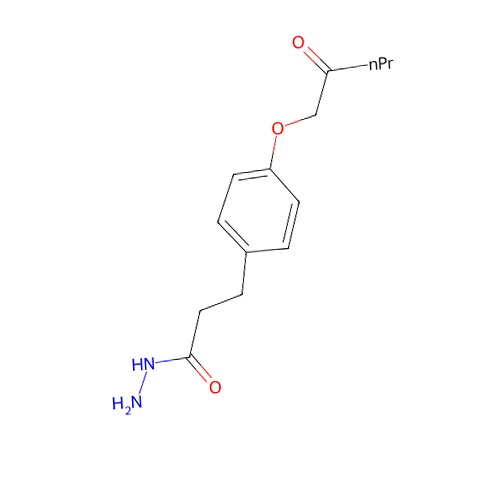 CCCC(=O)COc1ccc(CCC(=O)NN)cc1